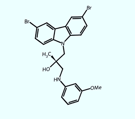 COc1cccc(NC[C@](C)(O)Cn2c3ccc(Br)cc3c3cc(Br)ccc32)c1